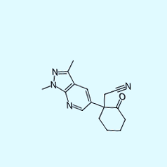 Cc1nn(C)c2ncc(C3(CC#N)CCCCC3=O)cc12